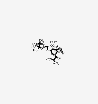 C[C@H](N)C(=O)N1C[C@H](CCB2OC(C)(C)C(C)(C)O2)C[C@](N=[N+]=[N-])(C(=O)O)C1.Cl